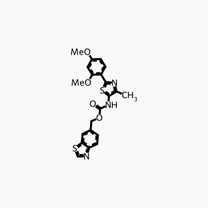 COc1ccc(-c2nc(C)c(NC(=O)OCc3ccc4ncsc4c3)s2)c(OC)c1